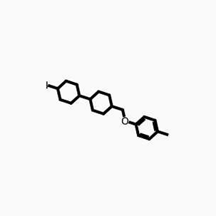 Cc1ccc(OCC2CCC(C3CCC(I)CC3)CC2)cc1